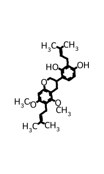 COc1cc2c(c(OC)c1CC=C(C)C)CC(c1ccc(O)c(CC=C(C)C)c1O)CO2